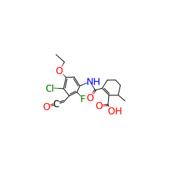 CCOc1cc(NC(=O)C2=C(C(=O)O)C(C)CCC2)c(F)c(C=C=O)c1Cl